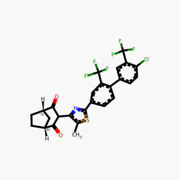 Cc1sc(-c2ccc(-c3ccc(Cl)c(C(F)(F)F)c3)c(C(F)(F)F)c2)nc1C1C(=O)[C@@H]2CC[C@@H](C2)C1=O